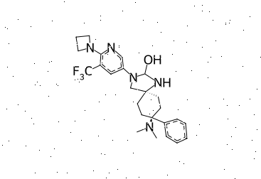 CN(C)[C@]1(c2ccccc2)CC[C@]2(CC1)CN(c1cnc(N3CCC3)c(C(F)(F)F)c1)C(O)N2